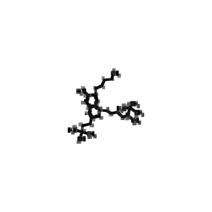 CCCCCc1cc2c(CCCCN(C)C(C)(C)C)cc(CCC(C)(C)O)cc2nc1N